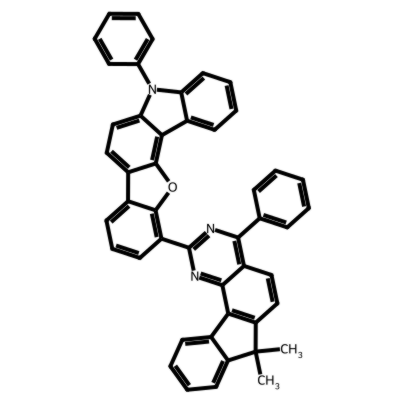 CC1(C)c2ccccc2-c2c1ccc1c(-c3ccccc3)nc(-c3cccc4c3oc3c4ccc4c3c3ccccc3n4-c3ccccc3)nc21